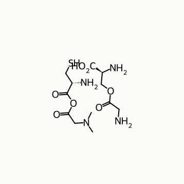 CN(C)CC(=O)OC(=O)[C@@H](N)CS.NCC(=O)OC[C@H](N)C(=O)O